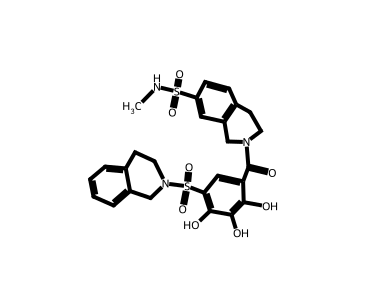 CNS(=O)(=O)c1ccc2c(c1)CN(C(=O)c1cc(S(=O)(=O)N3CCc4ccccc4C3)c(O)c(O)c1O)CC2